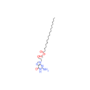 CCCCCCCCCCCCCCCCCCCC(=O)OCC[C@@H](CO)Cn1cnc2c(=O)[nH]c(N)nc21